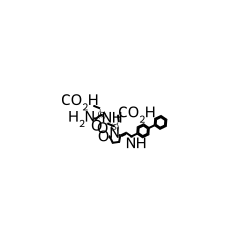 N=C(C=C1CCC(=O)N1[C@@H](CCC(=O)O)C(=O)N[C@@H](CCC(=O)O)C(N)=O)c1ccc(-c2ccccc2)cc1